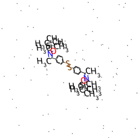 C/C(=N/O[Si](C)(C)C(C)(C)C)c1ccc(SSc2ccc(/C(C)=N\O[Si](C)(C)C(C)(C)C)cc2)cc1